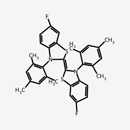 Cc1cc(C)c(N2/C(=C3\Sc4cc(F)ccc4N3c3c(C)cc(C)cc3C)Sc3cc(F)ccc32)c(C)c1